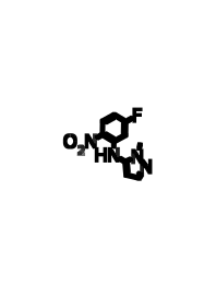 Cn1nccc1Nc1cc(F)ccc1[N+](=O)[O-]